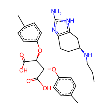 CCCN[C@H]1CCc2nc(N)[nH]c2C1.Cc1ccc(O[C@H](C(=O)O)[C@H](Oc2ccc(C)cc2)C(=O)O)cc1